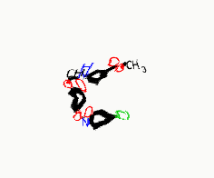 CCOC(=O)c1cccc(NC(=O)C(C)Oc2ccc(Oc3nc4ccc(Cl)cc4o3)cc2)c1